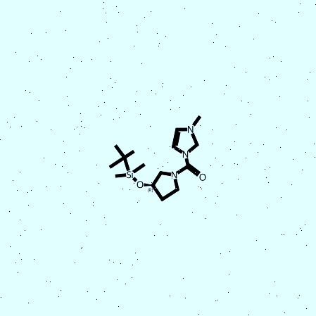 CN1C=CN(C(=O)N2CC[C@@H](O[Si](C)(C)C(C)(C)C)C2)C1